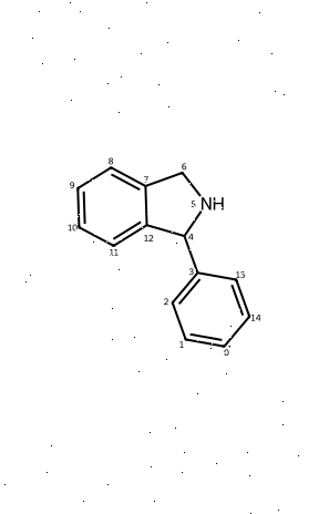 [c]1ccc(C2NCc3ccccc32)cc1